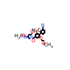 COCCOc1cc(C(=O)N2C/C(=N/OC)C[C@H]2CO)ccc1-c1cccc(C#N)c1C